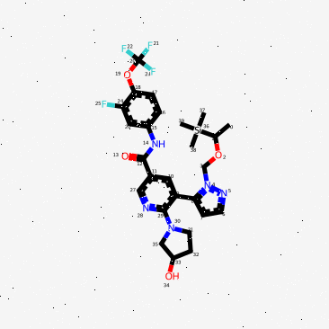 CC(OCn1nccc1-c1cc(C(=O)Nc2ccc(OC(F)(F)F)c(F)c2)cnc1N1CCC(O)C1)[Si](C)(C)C